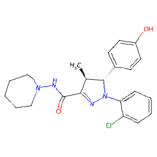 C[C@@H]1C(C(=O)NN2CCCCC2)=NN(c2ccccc2Cl)[C@H]1c1ccc(O)cc1